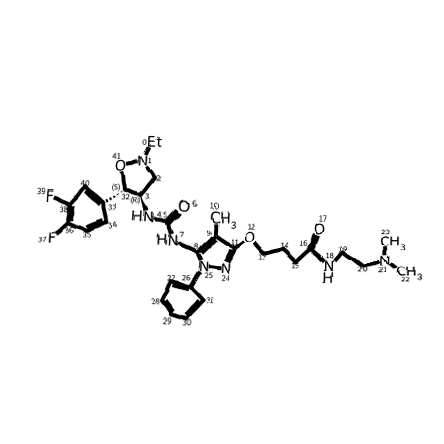 CCN1C[C@@H](NC(=O)Nc2c(C)c(OCCCC(=O)NCCN(C)C)nn2-c2ccccc2)[C@H](c2ccc(F)c(F)c2)O1